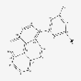 Cc1cc(Br)cc(-c2ccc3ccc4cccc5ccc2c3c45)c1